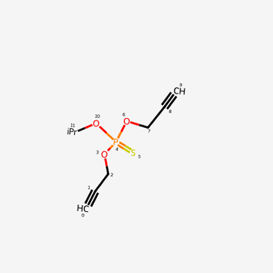 C#CCOP(=S)(OCC#C)OC(C)C